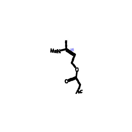 CN/C(C)=C\COC(=O)CC(C)=O